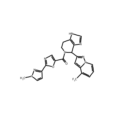 Cn1ccc(-c2ncc(C(=O)N3CCc4[nH]cnc4C3c3cc4c(C(F)(F)F)cccn4n3)o2)n1